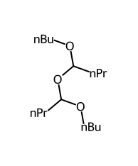 CCCCOC(CCC)OC(CCC)OCCCC